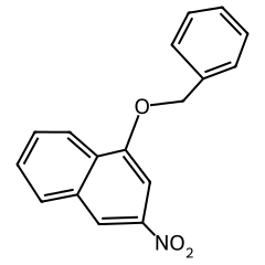 O=[N+]([O-])c1cc(OCc2ccccc2)c2ccccc2c1